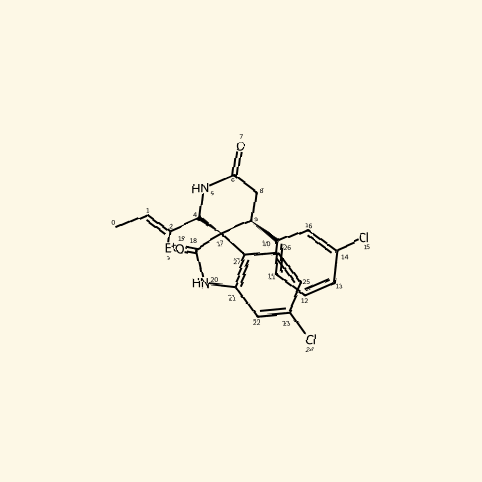 C/C=C(\CC)C1NC(=O)C[C@@H](c2cccc(Cl)c2)[C@]12C(=O)Nc1cc(Cl)ccc12